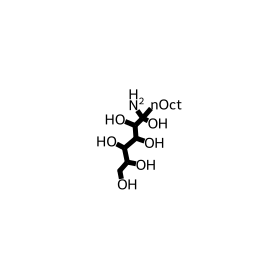 CCCCCCCCC(N)(O)C(O)C(O)C(O)C(O)CO